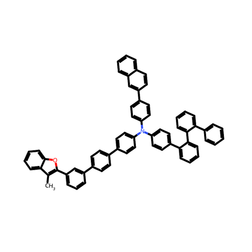 Cc1c(-c2cccc(-c3ccc(-c4ccc(N(c5ccc(-c6ccc7ccccc7c6)cc5)c5ccc(-c6ccccc6-c6ccccc6-c6ccccc6)cc5)cc4)cc3)c2)oc2ccccc12